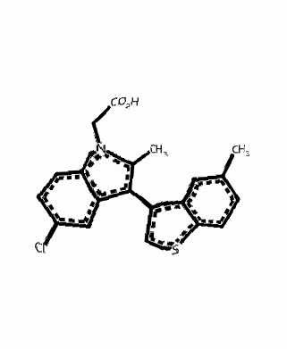 Cc1ccc2scc(-c3c(C)n(CC(=O)O)c4ccc(Cl)cc34)c2c1